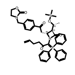 C=CCCC(=O)C(N1C(=O)[C@H]([C@@H](C)O[Si](C)(C)C)[C@H]1CC(=O)c1ccc(CN2CCOC2=O)cc1)=P(c1ccccc1)(c1ccccc1)c1ccccc1